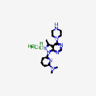 Cc1nn(-c2cccc(N(C)C)n2)c2ncnc(N3CCNCC3)c12.Cl.Cl.Cl